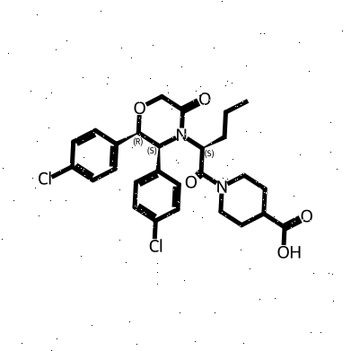 CCC[C@@H](C(=O)N1CCC(C(=O)O)CC1)N1C(=O)CO[C@H](c2ccc(Cl)cc2)[C@@H]1c1ccc(Cl)cc1